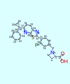 O=C(O)C1CCN1Cc1ccc(-c2nc3ccc(C4(c5ccccc5)C=C4)nc3s2)c(F)c1